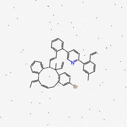 C=Cc1ccc(C)cc1-c1ccc(-c2ccccc2/C=C/C2c3ccccc3C(=C/C)/C=C\Cc3cc(Br)ccc3C2(C)C=C)cn1